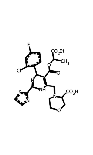 CCOC(=O)C(C)OC(=O)C1=C(CN2CCOCC2C(=O)O)NC(c2nccs2)=NC1c1ccc(F)cc1Cl